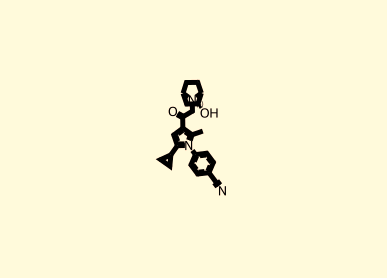 Cc1c(C(=O)CN2C3CCC2[C@@H](O)C3)cc(C2CC2)n1-c1ccc(C#N)cc1